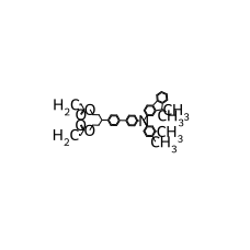 C=CC(=O)OCCC(CCOC(=O)C=C)c1ccc(-c2ccc(N(c3ccc(C)c(C)c3)c3ccc4c(c3)C(C)(C)c3ccccc3-4)cc2)cc1